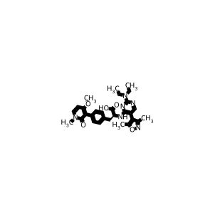 CCN(CC)c1ncc(-c2c(C)noc2C)c(N[C@@H](Cc2ccc(-c3c(OC)ccn(C)c3=O)cc2)C(=O)O)n1